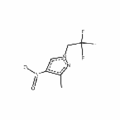 Cc1nn(CC(F)(F)F)cc1[N+](=O)[O-]